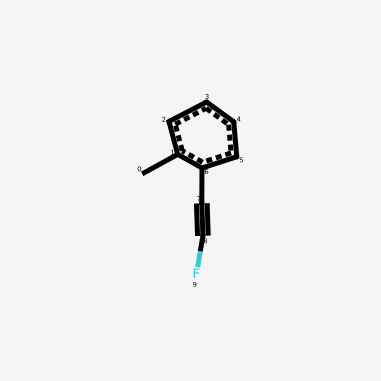 Cc1ccccc1C#CF